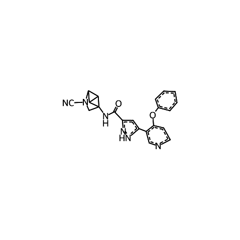 N#CN1CC2(NC(=O)c3cc(-c4cnccc4Oc4ccccc4)[nH]n3)C3C1C32